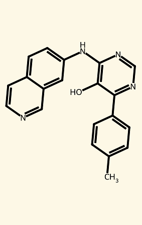 Cc1ccc(-c2ncnc(Nc3ccc4ccncc4c3)c2O)cc1